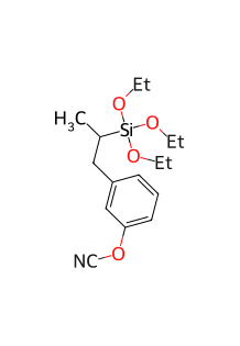 CCO[Si](OCC)(OCC)C(C)Cc1cccc(OC#N)c1